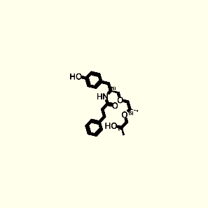 C[C@@H](O)CO[C@@H](C)COC[C@H](Cc1ccc(O)cc1)NC(=O)CCc1ccccc1